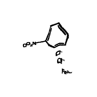 O=[N+]([O-])c1ccccc1.[Cl-].[Cl-].[Cl-].[Fe+3]